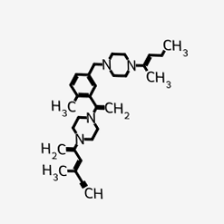 C#C/C(C)=C/C(=C)N1CCN(C(=C)c2cc(CN3CCN(/C(C)=C/CC)CC3)ccc2C)CC1